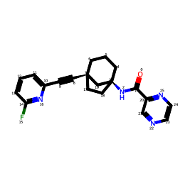 O=C(N[C@@]12CCC[C@@](C#Cc3cccc(F)n3)(CC1)C2)c1cnccn1